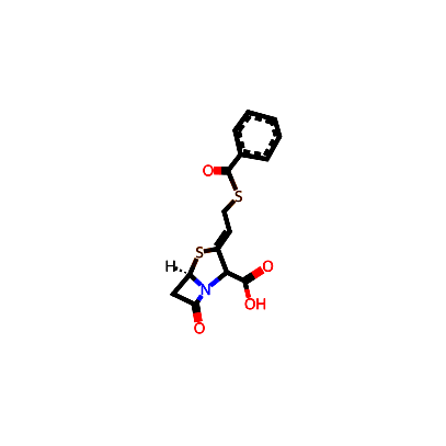 O=C(SC/C=C1\S[C@@H]2CC(=O)N2C1C(=O)O)c1ccccc1